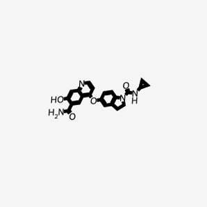 NC(=O)c1cc2c(Oc3ccc4c(c3)CCN4C(=O)NC3CC3)ccnc2cc1O